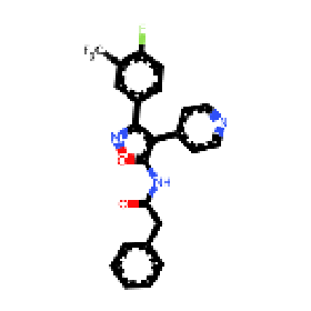 O=C(Cc1ccccc1)Nc1onc(-c2ccc(F)c(C(F)(F)F)c2)c1-c1ccncc1